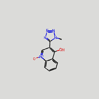 Cn1nnnc1-c1c[n+]([O-])c2ccccc2c1O